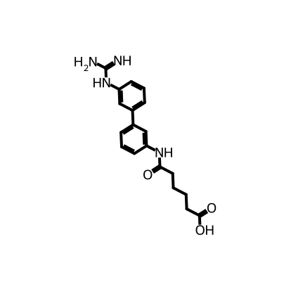 N=C(N)Nc1cccc(-c2cccc(NC(=O)CCCCC(=O)O)c2)c1